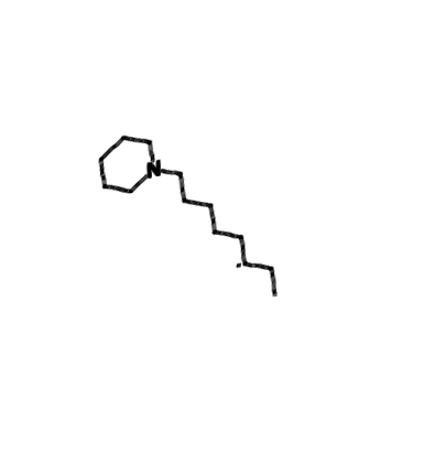 CC[CH]CCCCCN1CCCCC1